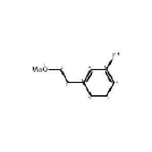 COCCC1=CC(F)=CCC1